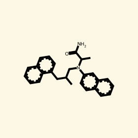 CC(Cc1cccc2ccccc12)CN(c1ccc2ccccc2c1)C(C)C(N)=O